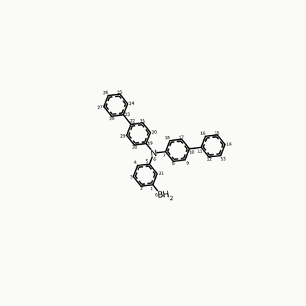 Bc1cccc(N(c2ccc(-c3ccccc3)cc2)c2ccc(-c3ccccc3)cc2)c1